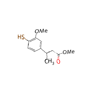 COC(=O)CC(C)c1ccc(S)c(OC)c1